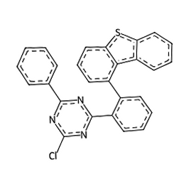 Clc1nc(-c2ccccc2)nc(-c2ccccc2-c2cccc3sc4ccccc4c23)n1